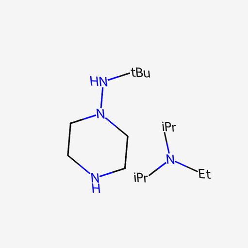 CC(C)(C)NN1CCNCC1.CCN(C(C)C)C(C)C